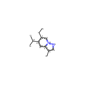 CCc1cn2ncc(C)c2cc1C(C)C